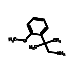 COc1ccccc1C(C)(C)CN